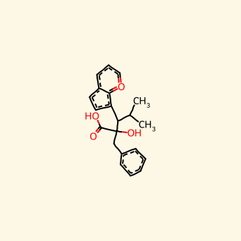 CC(C)C(c1ccc2cccoc1-2)C(O)(Cc1ccccc1)C(=O)O